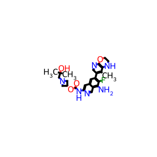 Cc1c(-c2cc3cc(NC(=O)OC4CN(CC(C)(C)O)C4)ncc3c(N)c2F)cnc2c1NCCO2